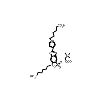 C[N+](C)(C)CC(=O)[O-].O=C(O)CCCCCOc1cc2oc(-c3cc[n+](CCCCCC(=O)O)cc3)nc2cc1S(=O)(=O)[O-]